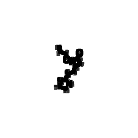 C=CCON1C(=O)CC1CSC1=NCCS1